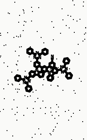 N#Cc1cccc(-c2cc(-c3cc(-c4nc(-c5ccccc5)nc(-c5ccccc5)n4)ccc3-n3c4ccccc4c4cc(-c5nc(-c6ccccc6)nc(-c6ccccc6)n5)ccc43)ccc2-n2c3ccccc3c3cc(-c4nc(-c5ccccc5)nc(-c5ccccc5)n4)ccc32)c1